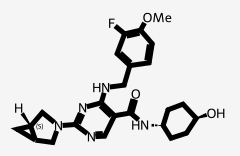 COc1ccc(CNc2nc(N3CC4C[C@@H]4C3)ncc2C(=O)N[C@H]2CC[C@H](O)CC2)cc1F